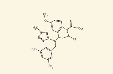 CCCCCCCCC(=O)N1c2ccc(OC(F)(F)F)cc2C(N(Cc2cc(C(F)(F)F)cc(C(F)(F)F)c2)c2nnn(C)n2)CC1CC